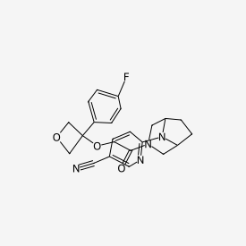 N#Cc1ccc(N2C3CCC2CN(C(=O)COC2(c4ccc(F)cc4)COC2)C3)nc1